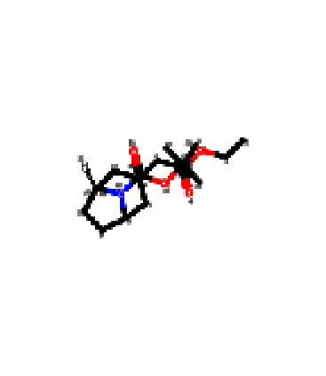 CCOC(=O)CC1CC2CC[C@@H](C1)N2C(=O)OC(C)(C)C